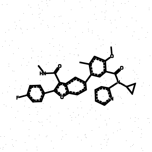 CNC(=O)c1c(-c2ccc(F)cc2)oc2ccc(-c3cc(C(=O)N(c4ccccn4)C4CC4)c(OC)cc3C)cc12